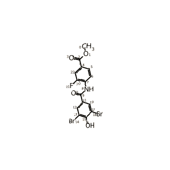 COC(=O)c1ccc(NC(=O)c2cc(Br)c(O)c(Br)c2)c(F)c1